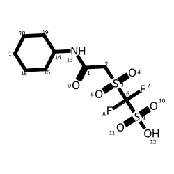 O=C(CS(=O)(=O)C(F)(F)S(=O)(=O)O)NC1CCCCC1